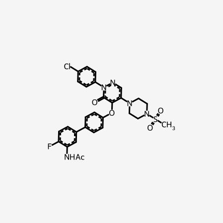 CC(=O)Nc1cc(-c2ccc(Oc3c(N4CCN(S(C)(=O)=O)CC4)cnn(-c4ccc(Cl)cc4)c3=O)cc2)ccc1F